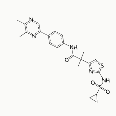 Cc1ncc(-c2ccc(NC(=O)C(C)(C)c3csc(NS(=O)(=O)C4CC4)n3)cc2)nc1C